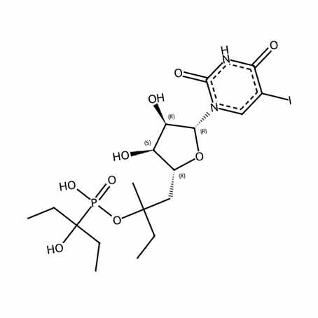 CCC(C)(C[C@H]1O[C@@H](n2cc(I)c(=O)[nH]c2=O)[C@H](O)[C@@H]1O)OP(=O)(O)C(O)(CC)CC